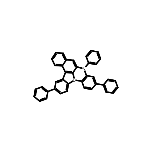 c1ccc(-c2ccc3c(c2)-c2c4c(cc5ccccc25)N(c2ccccc2)c2cc(-c5ccccc5)ccc2B34)cc1